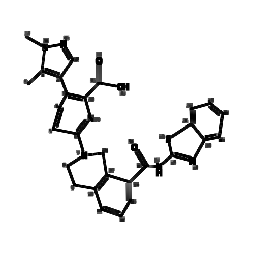 Cc1c(-c2ccc(N3CCc4cccc(C(=O)Nc5nc6ccccc6s5)c4C3)nc2C(=O)O)cnn1C